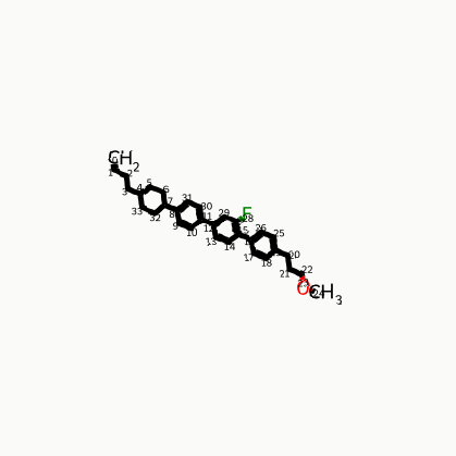 C=CCCC1CCC(c2ccc(-c3ccc(-c4ccc(CCCOC)cc4)c(F)c3)cc2)CC1